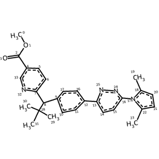 COC(=O)c1ccc(C(c2ccc(-c3ccc(-n4c(C)ccc4C)nn3)cc2)C(C)(C)C)nc1